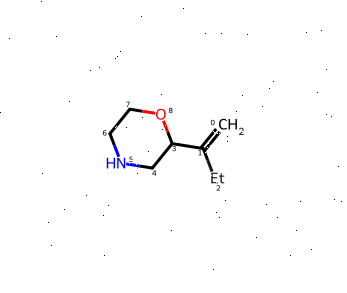 C=C(CC)C1CNCCO1